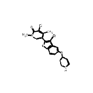 Cc1c(-c2[nH]c3ccc(OC4CCNCC4)cc3c2C(C)C)cn(C)c(=O)c1Cl